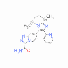 C[C@@H]1CC[C@H](C)c2nc(-c3ccccn3)c(-c3ccn4c(C(N)=O)nnc4c3)n21